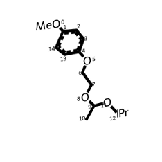 COc1ccc(OCCOC(C)OC(C)C)cc1